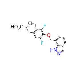 CC(Cc1cc(F)c(OCc2cccc3cn[nH]c23)c(F)c1)C(=O)O